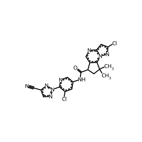 CC1(C)CC(C(=O)Nc2cnc(-n3ncc(C#N)n3)c(Cl)c2)c2cnc3cc(Cl)nn3c21